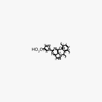 Cc1ccc(C)c(C(C)n2ncc3nc(-n4cc(C(=O)O)cn4)nc(O)c32)c1